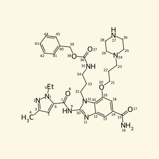 CCn1nc(C)cc1C(=O)Nc1nc2cc(C(N)=O)cc(OCCCN3CCNCC3)c2n1CCCNC(=O)OCc1ccccc1